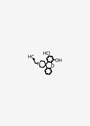 C#CCN1CCC2(CC1)c1ccccc1Oc1c(O)cccc12.Cl